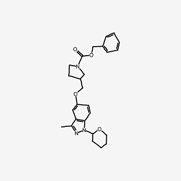 Cc1nn(C2CCCCO2)c2ccc(OCC3CCN(C(=O)OCc4ccccc4)C3)cc12